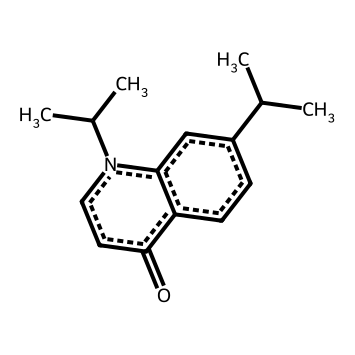 CC(C)c1ccc2c(=O)ccn(C(C)C)c2c1